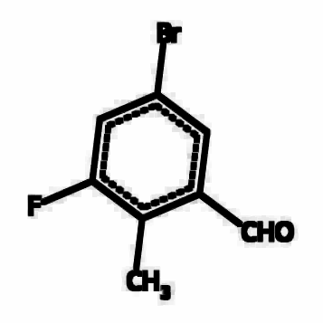 Cc1c(F)cc(Br)cc1C=O